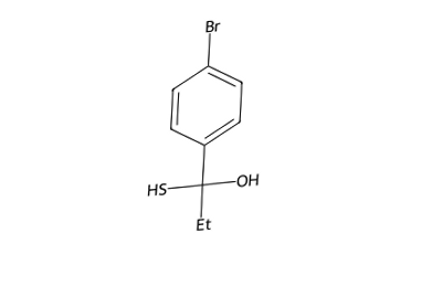 CCC(O)(S)c1ccc(Br)cc1